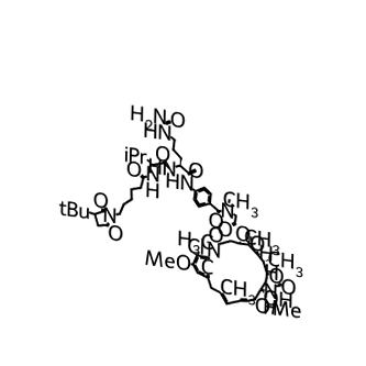 COc1cc2cc(c1Cl)N(C)C(=O)C[C@H](OC(=O)CN(C)C(=O)c1ccc(NC(=O)[C@H](CCCNC(N)=O)NC(=O)[C@@H](NC(=O)CCCCCN3C(=O)CC(C(C)(C)C)C3=O)C(C)C)cc1)[C@]1(C)O[C@H]1[C@H](C)[C@@H]1C[C@@](O)(NC(=O)O1)[C@H](OC)/C=C/C=C(\C)C2